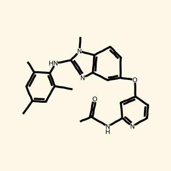 CC(=O)Nc1cc(Oc2ccc3c(c2)nc(Nc2c(C)cc(C)cc2C)n3C)ccn1